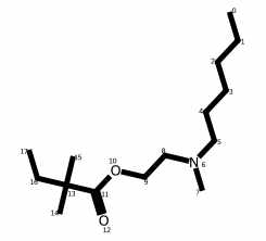 CCCCCCN(C)CCOC(=O)C(C)(C)CC